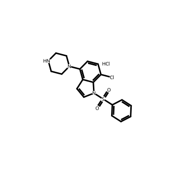 Cl.O=S(=O)(c1ccccc1)n1ccc2c(N3CCNCC3)ccc(Cl)c21